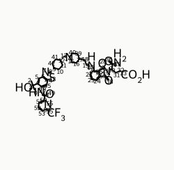 CC(C)(O)c1cc2nc([C@H]3CC[C@H](CN4CCC(CCNc5cccc6c5C(=O)N(C(CCC(=O)O)C(N)=O)C6=O)CC4)CC3)sc2cc1NC(=O)c1cccc(C(F)(F)F)n1